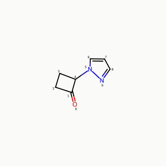 O=C1CCC1n1cccn1